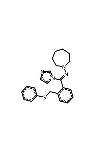 c1ccc(SCc2ccccc2C(=NN2CCCCCC2)n2ccnc2)cc1